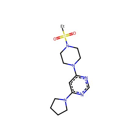 CCS(=O)(=O)N1CCN(c2cc(N3CCCC3)ncn2)CC1